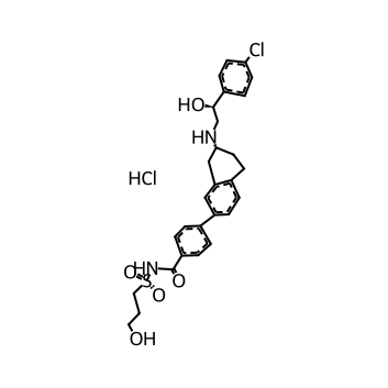 Cl.O=C(NS(=O)(=O)CCCO)c1ccc(-c2ccc3c(c2)C[C@@H](NC[C@@H](O)c2ccc(Cl)cc2)CC3)cc1